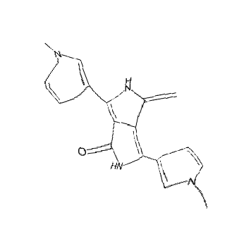 C=c1[nH]c(-c2ccn(C)c2)c2c1=C(c1ccn(C)c1)NC2=O